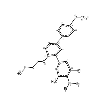 CCN(CC)c1c(C)cc(-c2cc(-c3ccc(OC(=O)O)cc3)ccc2OCCCO)cc1C(C)C